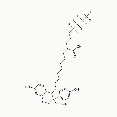 CCC1(c2ccc(O)cc2)COc2cc(O)ccc2C1CCCCCCCCC(CCCC(F)(F)C(F)(F)C(F)(F)C(F)(F)F)C(=O)O